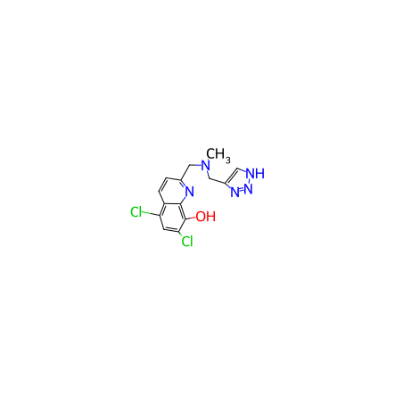 CN(Cc1c[nH]nn1)Cc1ccc2c(Cl)cc(Cl)c(O)c2n1